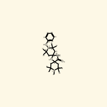 CN1C(C)(C)CC2(CC1(C)C)OC1(CC(C)(C)N(Oc3ccccc3)C(C)(C)C1)NC2=O